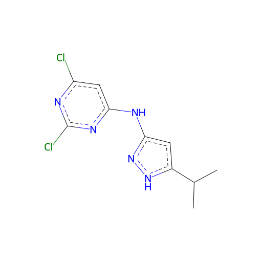 CC(C)c1cc(Nc2cc(Cl)nc(Cl)n2)n[nH]1